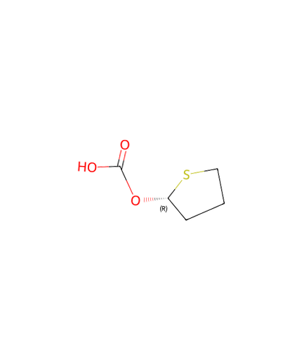 O=C(O)O[C@H]1CCCS1